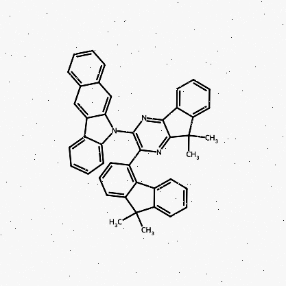 CC1(C)c2ccccc2-c2c(-c3nc4c(nc3-n3c5ccccc5c5cc6ccccc6cc53)-c3ccccc3C4(C)C)cccc21